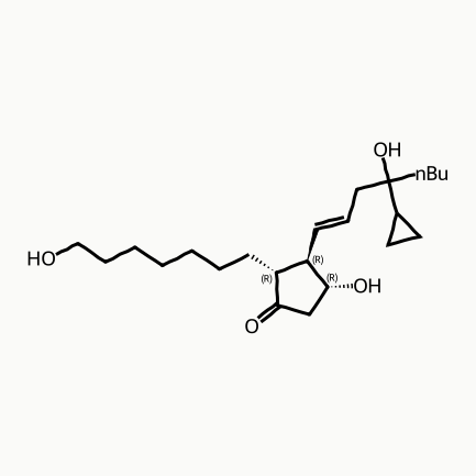 CCCCC(O)(CC=C[C@H]1[C@H](O)CC(=O)[C@@H]1CCCCCCCO)C1CC1